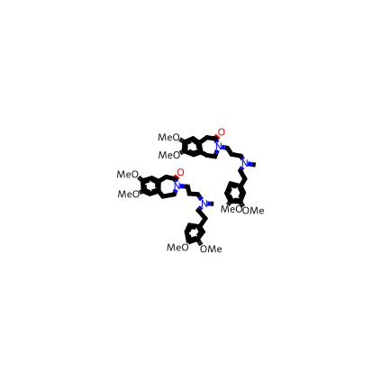 COc1ccc(CCN(C)CCCN2CCc3cc(OC)c(OC)cc3CC2=O)cc1OC.COc1ccc(CCN(C)CCCN2CCc3cc(OC)c(OC)cc3CC2=O)cc1OC